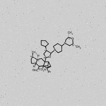 CC(C)C1=CC2CC3(C=O)[C@@H]4CC[C@@H](C)[C@H]4CC2([C@H]2C[C@@H](C4CCCC4)C(N4CCC(N5C[C@@H](C)O[C@@H](C)C5)CC4)O2)C13C(=O)O